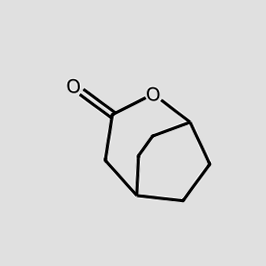 O=C1CC2CCC(CC2)O1